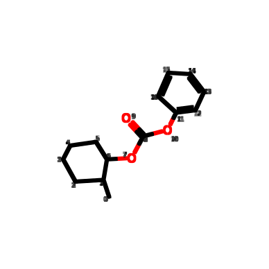 CC1CCCCC1OC(=O)Oc1ccccc1